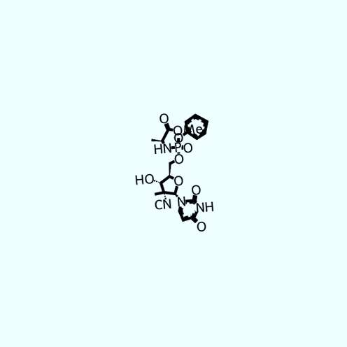 COC(=O)[C@H](C)NP(=O)(OC[C@H]1O[C@@H](n2ccc(=O)[nH]c2=O)[C@](C)(C#N)[C@@H]1O)Oc1ccccc1